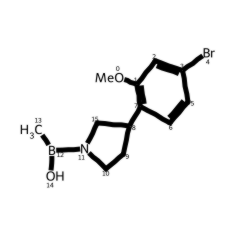 COc1cc(Br)ccc1C1CCN(B(C)O)C1